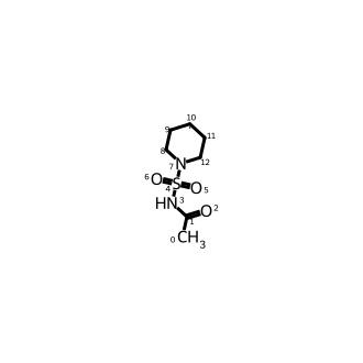 CC(=O)NS(=O)(=O)N1CC[CH]CC1